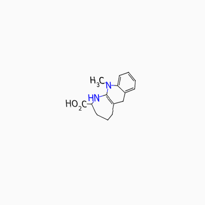 CN1C2=C(CCCC(C(=O)O)N2)Cc2ccccc21